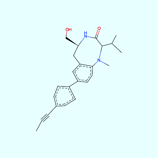 CC#Cc1ccc(-c2ccc3c(c2)C[C@@H](CO)NC(=O)C(C(C)C)N3C)cc1